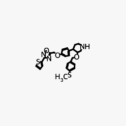 CSc1ccc(COC2CNCCC2c2ccc(OCc3nc(-c4cccs4)no3)cc2)cc1